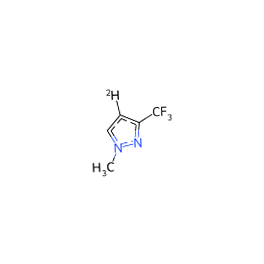 [2H]c1cn(C)nc1C(F)(F)F